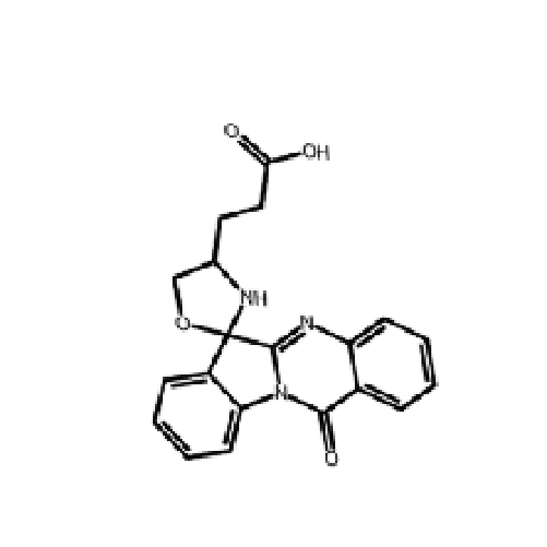 O=C(O)CCC1COC2(N1)c1ccccc1-n1c2nc2ccccc2c1=O